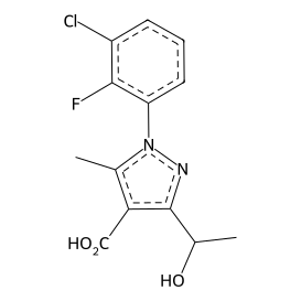 Cc1c(C(=O)O)c(C(C)O)nn1-c1cccc(Cl)c1F